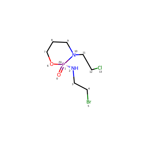 O=[P@@]1(NCCBr)OCCCN1CCCl